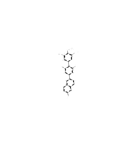 CCCc1ccc2cc(-c3cc(F)c(-c4cc(F)c(OC)c(F)c4)c(F)c3)ccc2c1